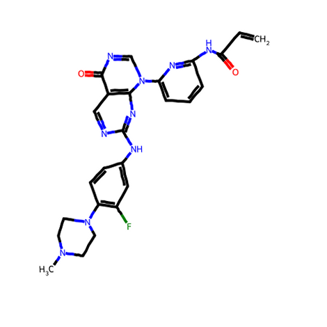 C=CC(=O)Nc1cccc(-n2cnc(=O)c3cnc(Nc4ccc(N5CCN(C)CC5)c(F)c4)nc32)n1